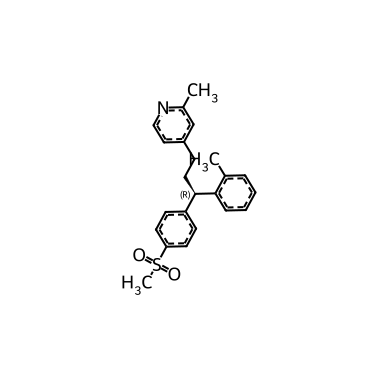 Cc1cc(CC[C@H](c2ccc(S(C)(=O)=O)cc2)c2ccccc2C)ccn1